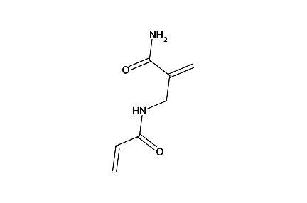 C=CC(=O)NCC(=C)C(N)=O